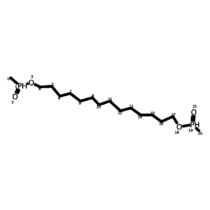 C[PH](=O)OCCCCCCCCCCCCCCO[PH](C)=O